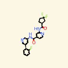 O=C(Nc1cncc(-c2ccccc2F)c1)c1ccnc(NC(=O)C2CCC(F)(F)C2)c1